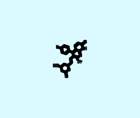 CC(C)c1nc2[nH]c(=O)ccc2c(-c2ccc(F)cc2)c1/C=C/C1CC(O)CC(=O)O1